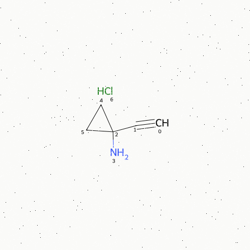 C#CC1(N)CC1.Cl